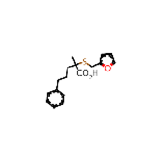 CC(CCCc1ccccc1)(SCc1ccco1)C(=O)O